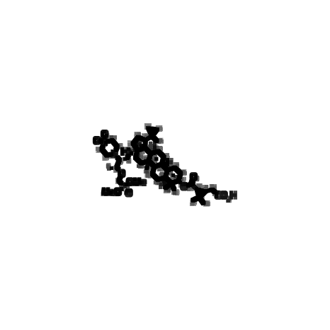 COP(=O)(CO[C@H](C)[C@@H](CN[C@]12CC[C@@H](C3(C)CC3)[C@@H]1[C@H]1CC[C@@H]3[C@@]4(C)CC[C@H](OC(=O)[C@H]5[C@@H](CC(=O)O)C5(C)C)C(C)(C)[C@@H]4CC[C@@]3(C)[C@]1(C)CC2)N1CCS(=O)(=O)CC1)OC